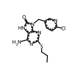 CCCSc1nc(N)c2[nH]c(=O)n(Cc3ccc(Cl)nc3)c2n1